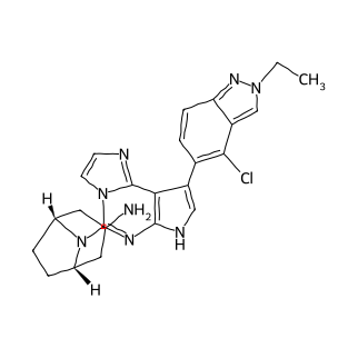 CCn1cc2c(Cl)c(-c3c[nH]c4nc(N5[C@@H]6CC[C@H]5CC(N)C6)n5ccnc5c34)ccc2n1